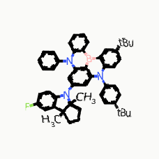 CC(C)(C)c1ccc(N2c3ccc(C(C)(C)C)cc3B3c4ccccc4N(c4ccccc4)c4cc(N5c6ccc(F)cc6C6(C)CCCC56C)cc2c43)cc1